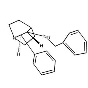 c1ccc(CN[C@H]2C3CCN(CC3)[C@@H]2c2ccccc2)cc1